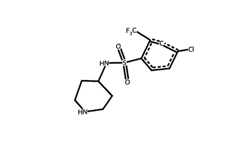 O=S(=O)(NC1CCNCC1)c1ccc(Cl)cc1C(F)(F)F